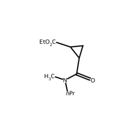 CCCN(C)C(=O)C1CC1C(=O)OCC